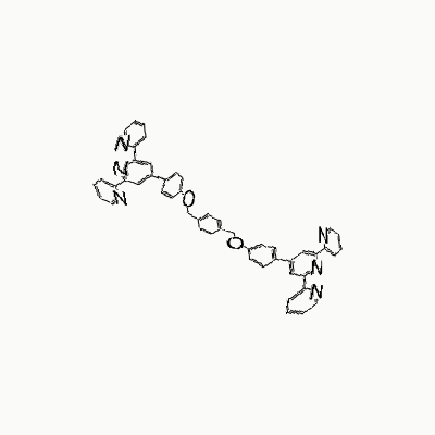 c1ccc(-c2cc(-c3ccc(OCc4ccc(COc5ccc(-c6cc(-c7ccccn7)nc(-c7ccccn7)c6)cc5)cc4)cc3)cc(-c3ccccn3)n2)nc1